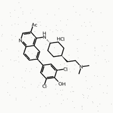 CC(=O)c1cnc2ccc(-c3cc(Cl)c(O)c(Cl)c3)cc2c1N[C@H]1CC[C@H](CCN(C)C)CC1.Cl